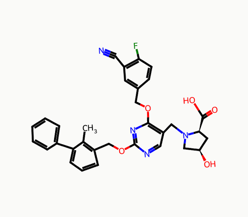 Cc1c(COc2ncc(CN3C[C@H](O)C[C@@H]3C(=O)O)c(OCc3ccc(F)c(C#N)c3)n2)cccc1-c1ccccc1